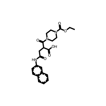 CCOC(=O)N1CCN(C(=O)C(CC(=O)Nc2ccc3ccccc3c2)C(=O)O)CC1